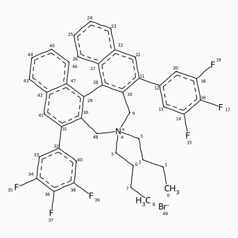 CCCC[N+]1(CCCC)Cc2c(-c3cc(F)c(F)c(F)c3)cc3ccccc3c2-c2c(c(-c3cc(F)c(F)c(F)c3)cc3ccccc23)C1.[Br-]